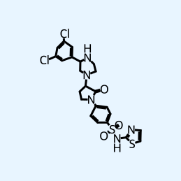 O=C1C(N2CCNC(c3cc(Cl)cc(Cl)c3)C2)CCN1c1ccc(S(=O)(=O)Nc2nccs2)cc1